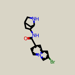 O=C(NC1CC2CNC1C2)c1ccn2cc(Br)cc2c1